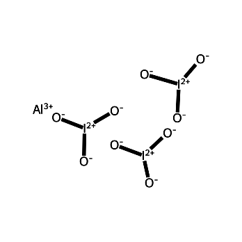 [Al+3].[O-][I+2]([O-])[O-].[O-][I+2]([O-])[O-].[O-][I+2]([O-])[O-]